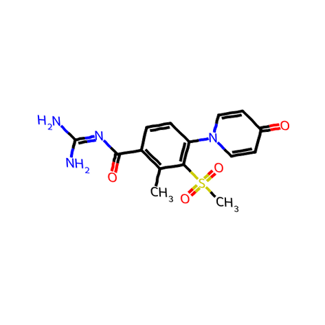 Cc1c(C(=O)N=C(N)N)ccc(-n2ccc(=O)cc2)c1S(C)(=O)=O